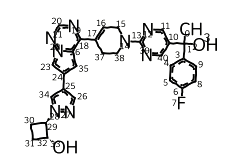 CC(O)(c1ccc(F)cc1)c1cnc(N2CC=C(c3ncnn4cc(-c5cnn([C@@H]6CC[C@H]6O)c5)cc34)CC2)nc1